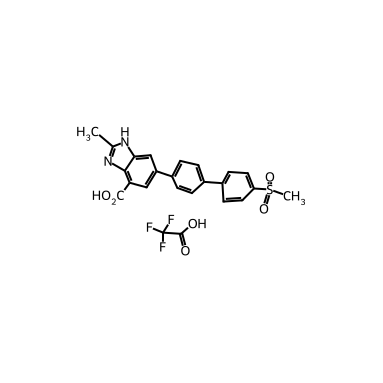 Cc1nc2c(C(=O)O)cc(-c3ccc(-c4ccc(S(C)(=O)=O)cc4)cc3)cc2[nH]1.O=C(O)C(F)(F)F